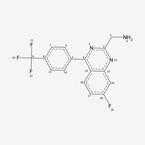 NCc1nc(-c2ccc(C(F)(F)F)cc2)c2ccc(F)cc2n1